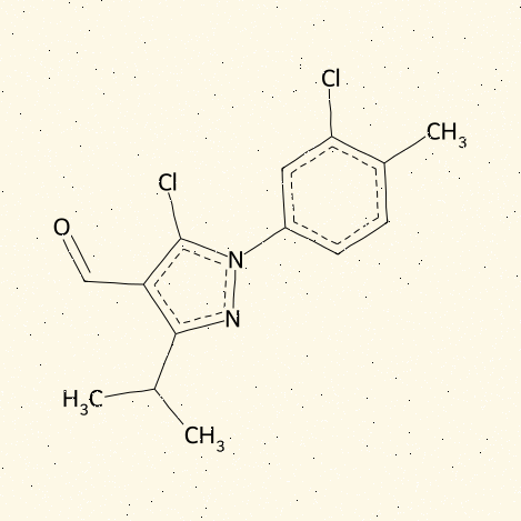 Cc1ccc(-n2nc(C(C)C)c(C=O)c2Cl)cc1Cl